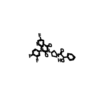 O=C([C@H](O)c1ccccc1)N1CC[C@H](n2c(=O)c3cc(F)cnc3n(-c3ccc(F)c(F)c3)c2=O)C1